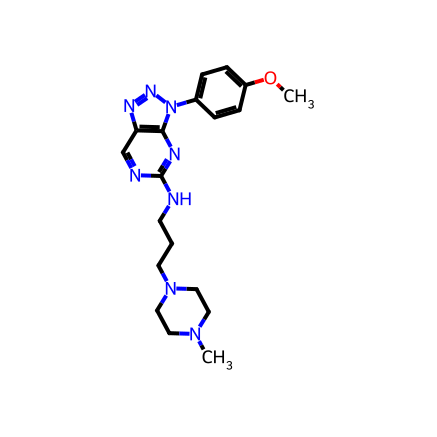 COc1ccc(-n2nnc3cnc(NCCCN4CCN(C)CC4)nc32)cc1